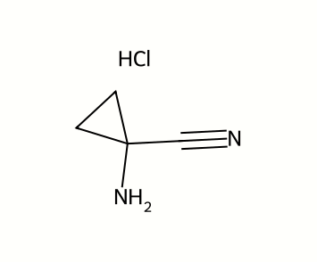 Cl.N#CC1(N)CC1